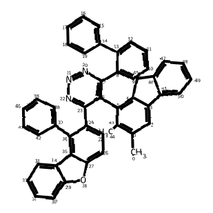 Cc1cc2c(c(-c3c(-c4ccccc4-c4ccccc4)nnnc3-c3ccc4oc5ccccc5c4c3-c3ccccc3)c1C)Cc1ccccc1-2